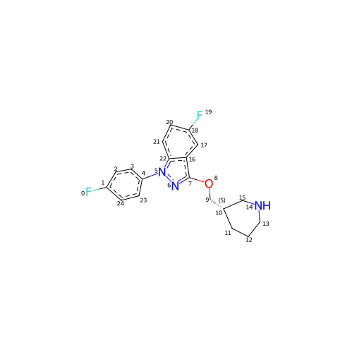 Fc1ccc(-n2nc(OC[C@H]3CCCNC3)c3cc(F)ccc32)cc1